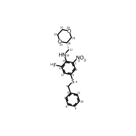 O=[N+]([O-])c1cc(SCc2ccccc2)cc(F)c1NC[C@H]1COCCO1